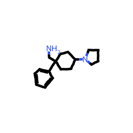 NCC1(c2ccccc2)CCC(N2CCCC2)CC1